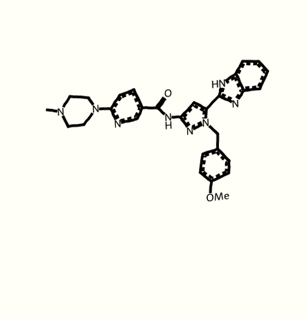 COc1ccc(Cn2nc(NC(=O)c3ccc(N4CCN(C)CC4)nc3)cc2-c2nc3ccccc3[nH]2)cc1